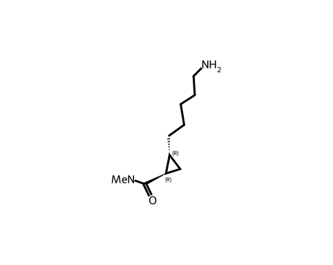 CNC(=O)[C@@H]1C[C@H]1CCCCCN